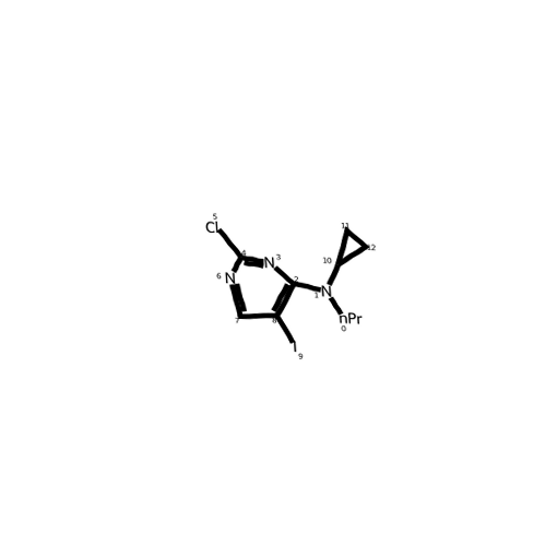 CCCN(c1nc(Cl)ncc1I)C1CC1